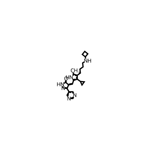 Cc1[nH]c(C=C2C(=O)NN=C2c2cncnc2)c(C2CC2)c1CCCCNC1CCC1